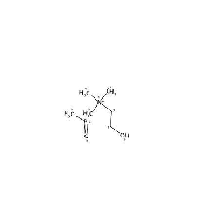 CP=O.C[N+](C)(C)CCO